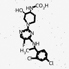 CC(Nc1nc(N2CC[C@H](NC(=O)O)[C@H](O)C2)ncc1F)c1ccc(Cl)cc1Cl